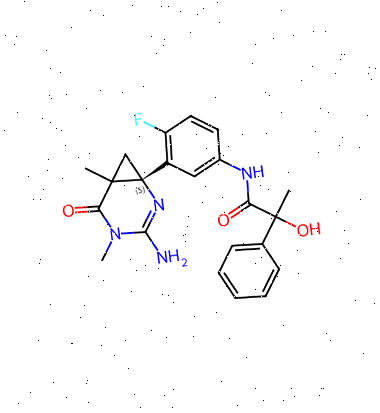 CN1C(=O)C2(C)C[C@]2(c2cc(NC(=O)C(C)(O)c3ccccc3)ccc2F)N=C1N